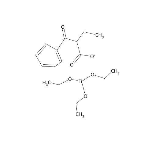 CCC(C(=O)[O-])C(=O)c1ccccc1.CC[O][Ti+]([O]CC)[O]CC